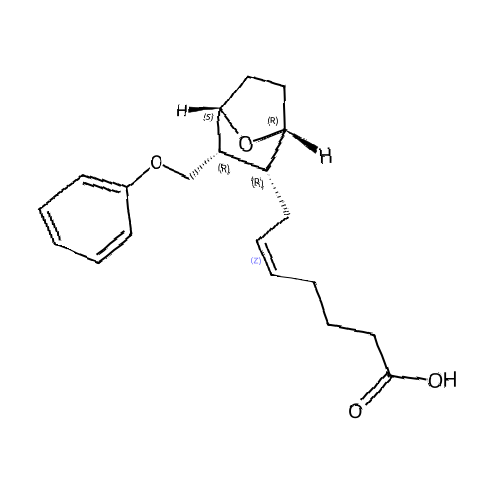 O=C(O)CCC/C=C\C[C@@H]1[C@H](COc2ccccc2)[C@@H]2CC[C@H]1O2